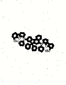 CC(C)(C)c1cccc2c1oc1c(N(c3ccccc3)c3ccc4c(c3)C(c3ccccc3)(c3ccccc3)c3cc(N(c5ccccc5)c5cccc6c5oc5c(C(C)(C)C)cccc56)c5ccccc5c3-4)cccc12